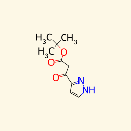 CC(C)(C)OC(=O)CC(=O)c1cc[nH]n1